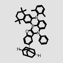 Cc1cccc(C)c1N1c2cc3c(cc2B2c4oc5ccc([C@]67CC8C[C@@H](C[C@H](C8)C6)C7)cc5c4N(c4ccccc4)c4cccc1c42)C(C)(C)CCC3(C)C